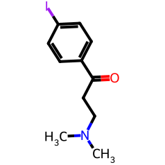 CN(C)CCC(=O)c1ccc(I)cc1